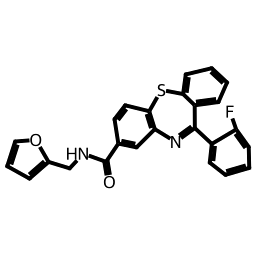 O=C(NCc1ccco1)c1ccc2c(c1)N=C(c1ccccc1F)c1ccccc1S2